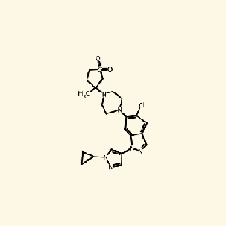 CC1(N2CCN(c3cc4c(cnn4-c4cnn(C5CC5)c4)cc3Cl)CC2)CCS(=O)(=O)C1